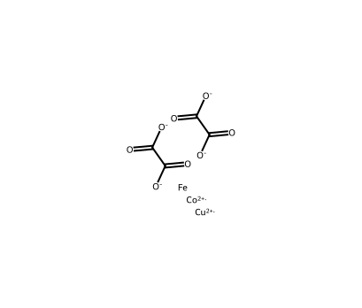 O=C([O-])C(=O)[O-].O=C([O-])C(=O)[O-].[Co+2].[Cu+2].[Fe]